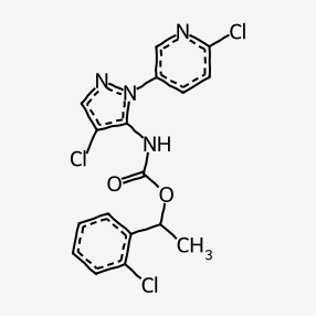 CC(OC(=O)Nc1c(Cl)cnn1-c1ccc(Cl)nc1)c1ccccc1Cl